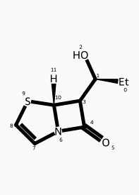 CC[C@H](O)C1C(=O)N2C=CS[C@H]12